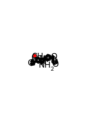 COc1cc2nc(N3CCCN(C(=O)N4CCOCC4)CC3)nc(N)c2cc1-c1ccoc1